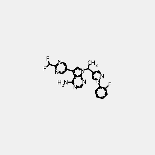 CC(c1cnn(-c2ccccc2F)c1)n1cc(-c2cnc(C(F)F)nc2)c2c(N)ncnc21